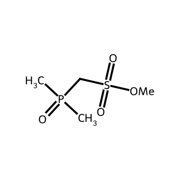 COS(=O)(=O)CP(C)(C)=O